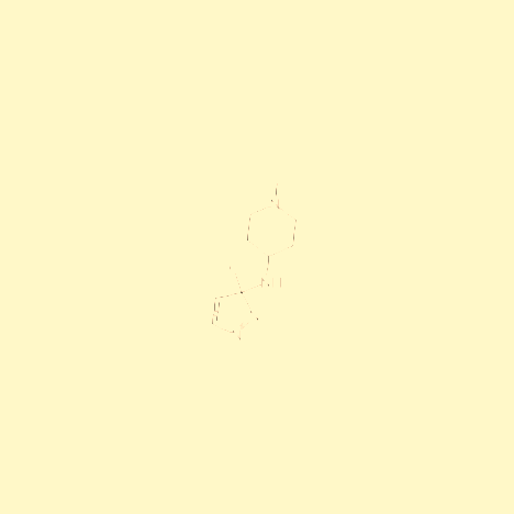 CN1CCC(NC2(C)C=CN=N2)CC1